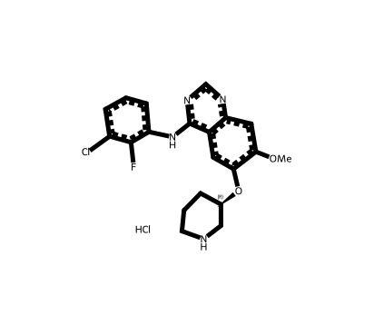 COc1cc2ncnc(Nc3cccc(Cl)c3F)c2cc1O[C@@H]1CCCNC1.Cl